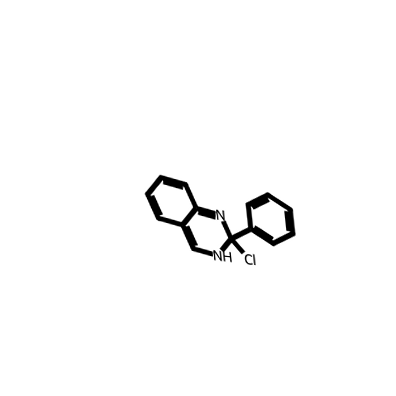 ClC1(c2ccccc2)N=c2ccccc2=CN1